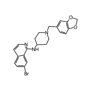 Brc1ccc2ccnc(NC3CCN(Cc4ccc5c(c4)OCO5)CC3)c2c1